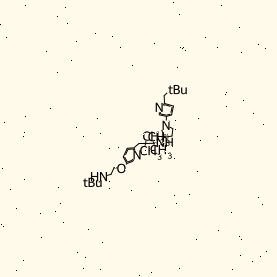 CC(C)(C)Cc1ccc(N2CC[C@@H](NC(C)(C)C(C)(C)Cc3ccc(OCCNC(C)(C)C)cn3)C2)cn1